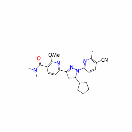 COc1nc(C2=NN(c3ccc(C#N)c(C)n3)C(C3CCCC3)C2)ccc1C(=O)N(C)C